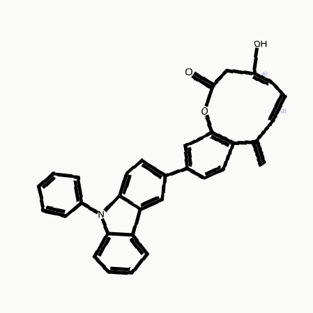 C=C1/C=C\C=C(\O)CC(=O)Oc2cc(-c3ccc4c(c3)c3ccccc3n4-c3ccccc3)ccc21